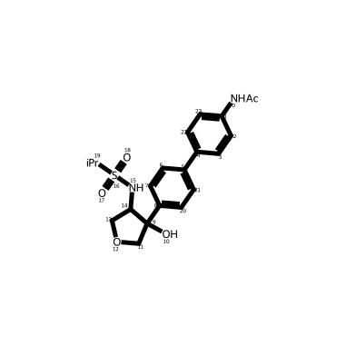 CC(=O)Nc1ccc(-c2ccc(C3(O)COCC3NS(=O)(=O)C(C)C)cc2)cc1